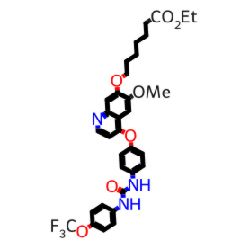 CCOC(=O)CCCCCCOc1cc2nccc(Oc3ccc(NC(=O)Nc4ccc(OC(F)(F)F)cc4)cc3)c2cc1OC